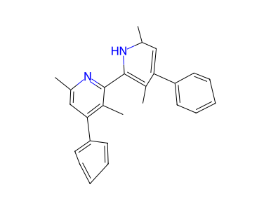 CC1=C(c2nc(C)cc(-c3ccccc3)c2C)NC(C)C=C1c1ccccc1